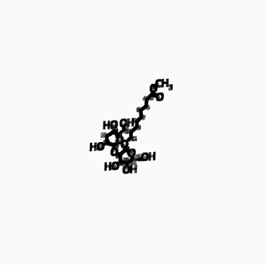 COC(=O)CCCCCCCCO[C@H]1O[C@H](CO)[C@@H](O)[C@H](O)[C@H]1O[C@@H]1O[C@H](CO)[C@@H](O)C[C@H]1O